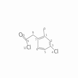 Cc1cc(Cl)ccc1CC(=O)Cl